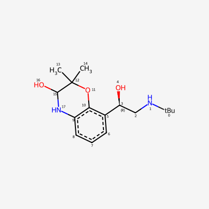 CC(C)(C)NC[C@H](O)c1cccc2c1OC(C)(C)C(O)N2